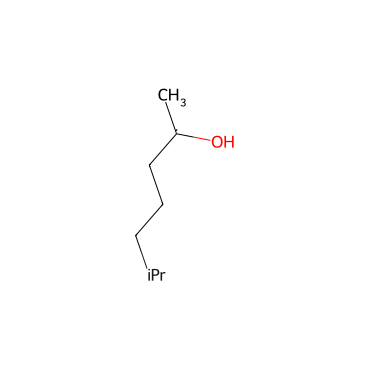 C[C](O)CCCC(C)C